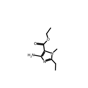 CCOC(=O)c1c(N)nc(CC)n1C